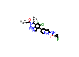 CCC(=O)NC(C)c1c(F)c(Cl)c(-c2ccn3nc(NC(=O)[C@@H]4C[C@@H]4F)cc3c2)c2cn[nH]c12